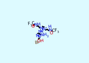 Nc1c(/N=N/c2n(CCCNC(=O)C(F)(F)F)cc[n+]2CCCNC(=O)C(F)(F)F)cnn1CCO.[Br-]